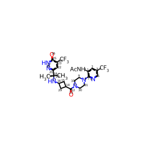 CC(=O)Nc1cc(C(F)(F)F)cnc1N1CCN(C(=O)C2CC(NC(C)(C)c3cc(C(F)(F)F)c(=O)[nH]n3)C2)CC1